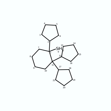 [SiH3]C1(C2CCCC2)CCCCC1(C1CCCC1)C1CCCC1